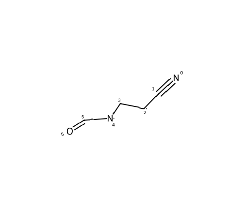 N#C[CH]C[N]C=O